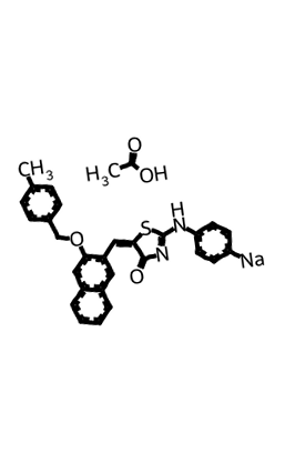 CC(=O)O.Cc1ccc(COc2cc3ccccc3cc2C=C2SC(Nc3cc[c]([Na])cc3)=NC2=O)cc1